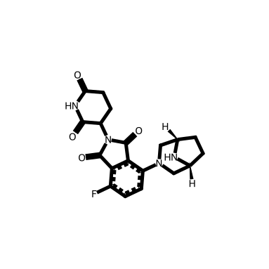 O=C1CCC(N2C(=O)c3c(F)ccc(N4C[C@H]5CC[C@@H](C4)N5)c3C2=O)C(=O)N1